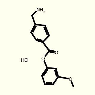 COc1cccc(OC(=O)c2ccc(CN)cc2)c1.Cl